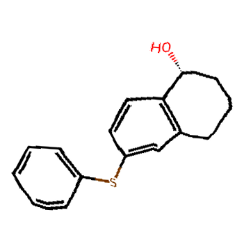 O[C@@H]1CCCc2cc(Sc3ccccc3)ccc21